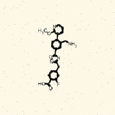 COc1ncccc1-c1ccc(-c2nc(Cc3ccc(C(=O)O)c(F)c3)no2)cc1CN